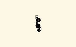 CC(C)Oc1ccc([CH]c2cccc(F)c2)cc1